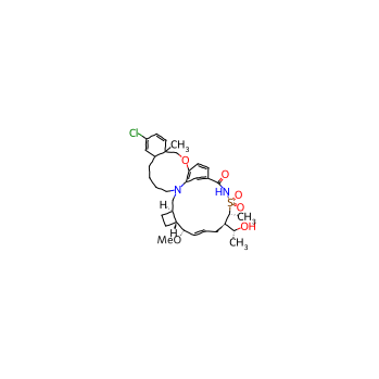 CO[C@H]1/C=C/C[C@H]([C@@H](C)O)[C@@H](C)S(=O)(=O)NC(=O)c2ccc3c(c2)N(CCCCC2C=C(Cl)C=CC2(C)CO3)C[C@@H]2CC[C@H]21